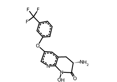 N[C@H]1Cc2cc(Oc3cccc(C(F)(F)F)c3)cnc2N(O)C1=O